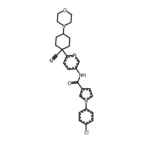 N#CC1(c2ccc(NC(=O)c3ccn(-c4ccc(Cl)cc4)c3)cn2)CCC(N2CCOCC2)CC1